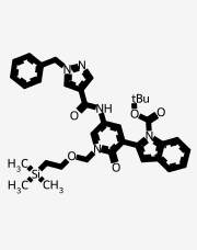 CC(C)(C)OC(=O)n1c(-c2cc(NC(=O)c3cnn(Cc4ccccc4)c3)cn(COCC[Si](C)(C)C)c2=O)cc2ccccc21